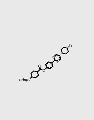 CCCCCCCC1CCC(C(=O)Oc2ccc(-c3ncc([C@H]4CC[C@H](CC)CC4)cn3)cc2)CC1